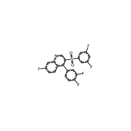 O=S(=O)(c1cc(F)cc(F)c1)c1cnc2cc(F)ccc2c1-c1ccc(F)c(F)c1